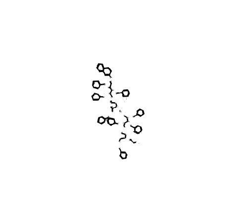 COC1C(OCC(OCc2ccccc2)C(OCc2ccccc2)C(COCc2ccc3ccccc3c2)OCc2ccccc2)OC(COCc2ccccc2)C1OCOCC(OCc1ccccc1)C(OCc1ccccc1)C(COC1OC(COCc2ccccc2)C(OC(=O)CCC(C)=O)C1OC)OCc1ccccc1